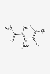 COC(=O)c1ccc(C#N)c(F)c1OC